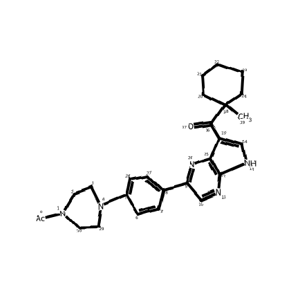 CC(=O)N1CCN(c2ccc(-c3cnc4[nH]cc(C(=O)C5(C)CCCCC5)c4n3)cc2)CC1